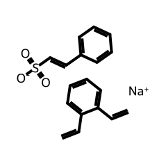 C=Cc1ccccc1C=C.O=S(=O)([O-])C=Cc1ccccc1.[Na+]